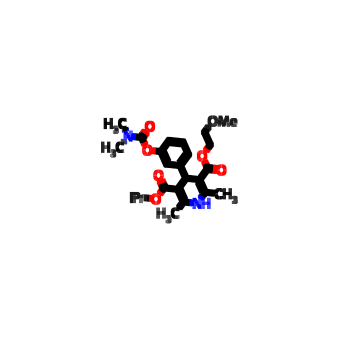 COCCOC(=O)C1=C(C)NC(C)=C(C(=O)OC(C)C)C1c1cccc(OC(=O)N(C)C)c1